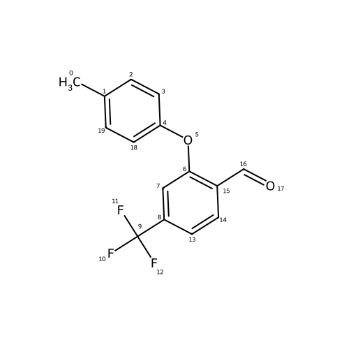 Cc1ccc(Oc2cc(C(F)(F)F)ccc2C=O)cc1